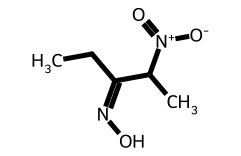 CCC(=NO)C(C)[N+](=O)[O-]